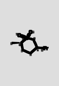 CC(C)C1CC[C@H](C)S(=O)(=O)C1